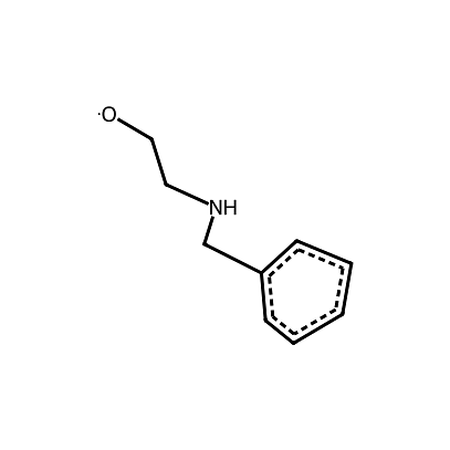 [O]CCNCc1ccccc1